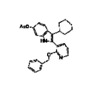 CC(=O)Oc1ccc2c(C3CCCCC3)c(-c3cccnc3OCc3ccccc3)[nH]c2c1